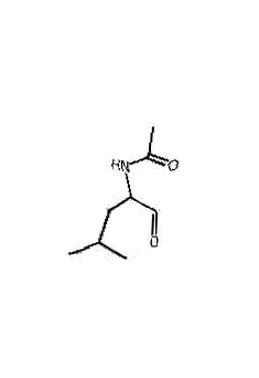 CC(=O)NC([C]=O)CC(C)C